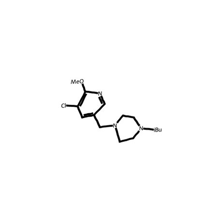 CCC(C)N1CCN(Cc2cnc(OC)c(Cl)c2)CC1